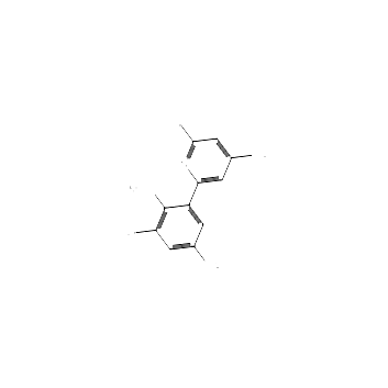 COc1c(-c2cc(C(C)(C)C)cc(Cl)n2)cc(C(C)(C)C)cc1C(C)(C)C